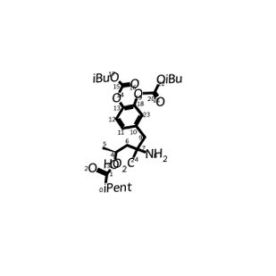 CCCC(C)C(=O)O[C@@H](C)CC(N)(Cc1ccc(OC(=O)OCC(C)C)c(OC(=O)OCC(C)C)c1)C(=O)O